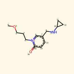 COCCCn1cc(CNC2CC2)ccc1=O